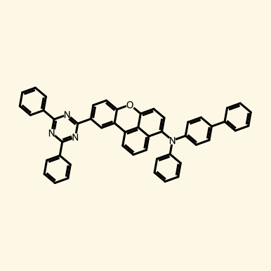 c1ccc(-c2ccc(N(c3ccccc3)c3ccc4c5c(cccc35)-c3cc(-c5nc(-c6ccccc6)nc(-c6ccccc6)n5)ccc3O4)cc2)cc1